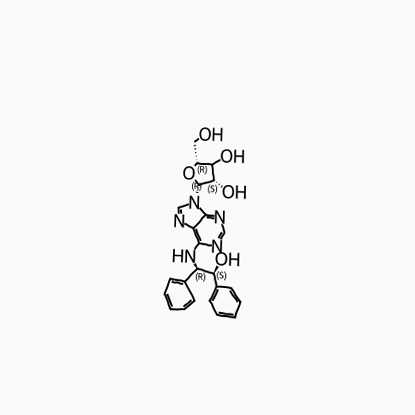 OC[C@H]1O[C@@H](n2cnc3c(N[C@H](c4ccccc4)[C@@H](O)c4ccccc4)ncnc32)[C@@H](O)C1O